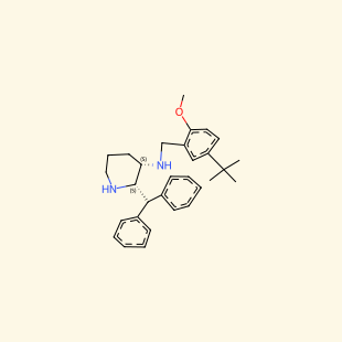 COc1ccc(C(C)(C)C)cc1CN[C@H]1CCCN[C@H]1C(c1ccccc1)c1ccccc1